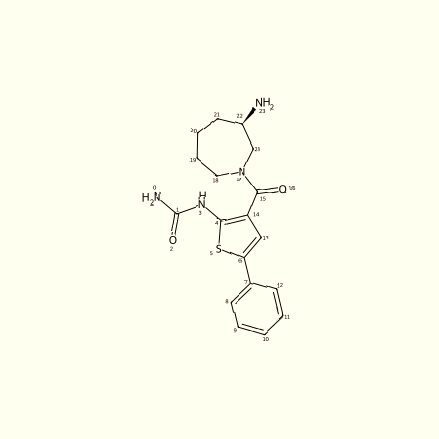 NC(=O)Nc1sc(-c2ccccc2)cc1C(=O)N1CCCC[C@@H](N)C1